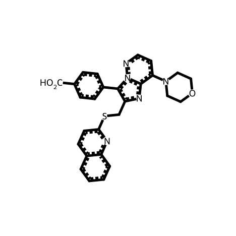 O=C(O)c1ccc(-c2c(CSc3ccc4ccccc4n3)nc3c(N4CCOCC4)ccnn23)cc1